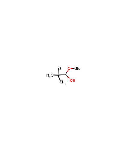 CCC(C)(C)[C@H](O)OC(C)(C)C